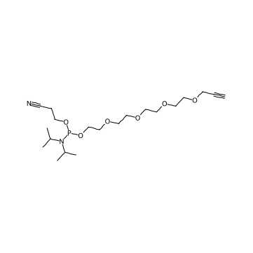 C#CCOCCOCCOCCOCCOP(OCCC#N)N(C(C)C)C(C)C